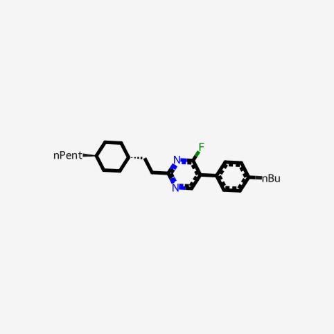 CCCCC[C@H]1CC[C@H](CCc2ncc(-c3ccc(CCCC)cc3)c(F)n2)CC1